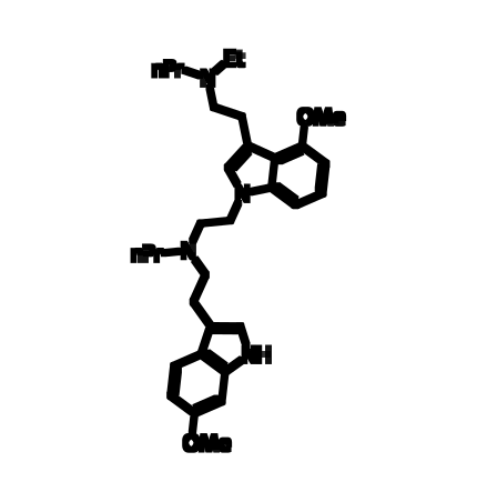 CCCN(CC)CCc1cn(CCN(CCC)CCc2c[nH]c3cc(OC)ccc23)c2cccc(OC)c12